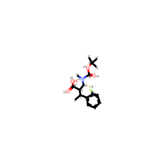 CC(c1ccccc1F)C(CN(C)C(=O)OC(C)(C)C)C(=O)O